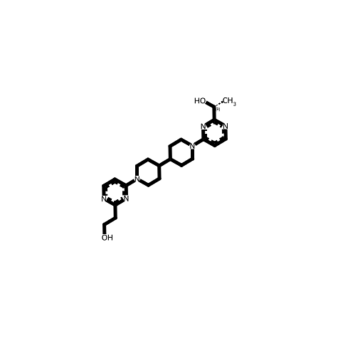 C[C@@H](O)c1nccc(N2CCC(C3CCN(c4ccnc(CCO)n4)CC3)CC2)n1